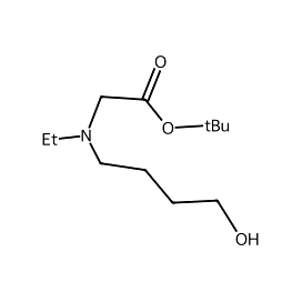 CCN(CCCCO)CC(=O)OC(C)(C)C